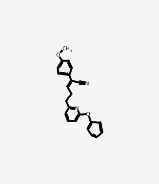 COc1ccc(C(C#N)=CCCc2cccc(Oc3ccccc3)n2)cc1